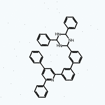 c1ccc(-c2cc(-c3ccccc3)nc(-c3cccc(-c4cccc(C5NC(c6ccccc6)NC(c6ccccc6)N5)c4)c3)c2)cc1